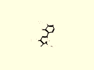 COc1c(F)ccc(-c2cc(N)c(Cl)c(OC(=O)O)n2)c1Cl